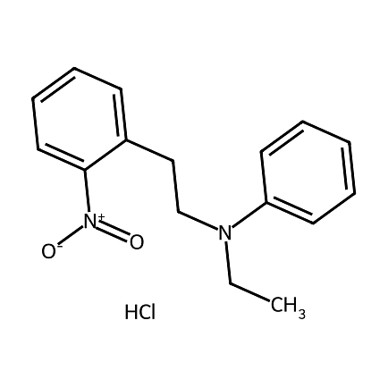 CCN(CCc1ccccc1[N+](=O)[O-])c1ccccc1.Cl